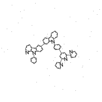 c1ccc(-n2c3ccc(-c4ccc5c6ccccc6n(-c6ccc(-c7cc(-c8ccccn8)nc(-c8ccccn8)c7)cc6)c5c4)cc3c3cccnc32)cc1